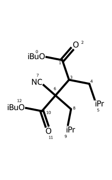 CC(C)COC(=O)C(CC(C)C)C(C#N)(CC(C)C)C(=O)OCC(C)C